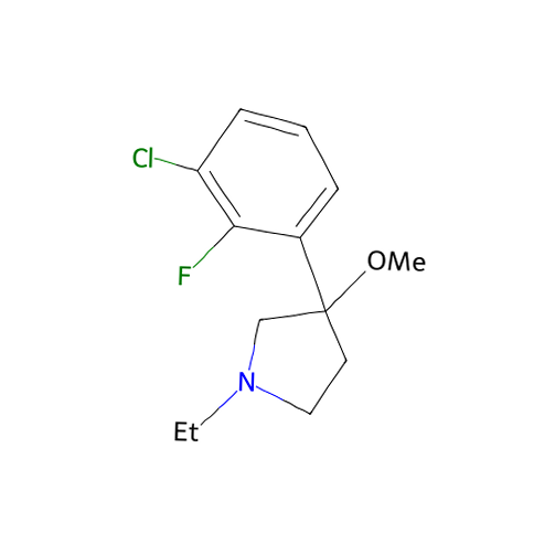 CCN1CCC(OC)(c2cccc(Cl)c2F)C1